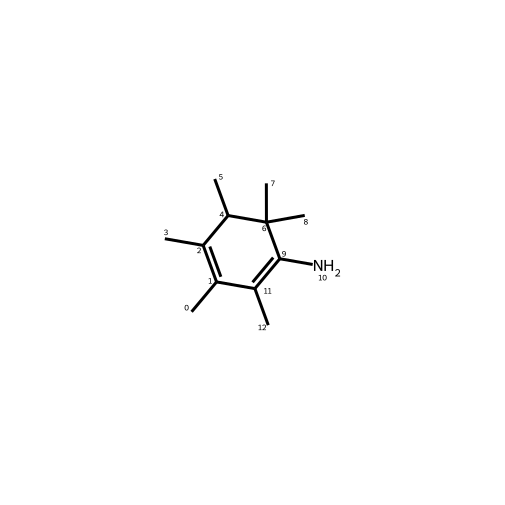 CC1=C(C)C(C)C(C)(C)C(N)=C1C